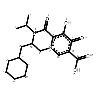 CC(C)N1C(=O)c2c(O)c(=O)c(C(=O)O)cn2CC1CC1CCCCC1